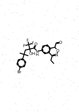 CCC1=NOC(C=O)c2ccc(NC(=O)C(O)(CC(C)(C)c3ccc(Br)cc3)C(F)(F)F)cc21